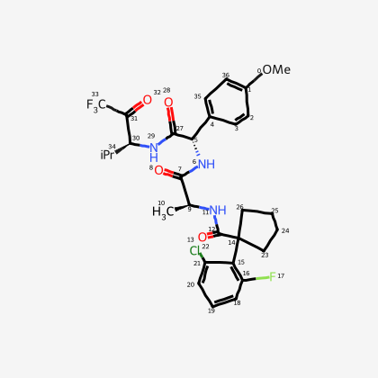 COc1ccc([C@H](NC(=O)[C@H](C)NC(=O)C2(c3c(F)cccc3Cl)CCCC2)C(=O)N[C@H](C(=O)C(F)(F)F)C(C)C)cc1